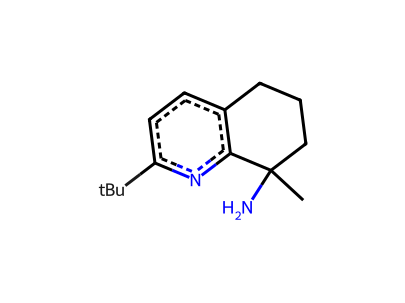 CC(C)(C)c1ccc2c(n1)C(C)(N)CCC2